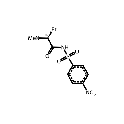 CC[C@H](NC)C(=O)NS(=O)(=O)c1ccc([N+](=O)[O-])cc1